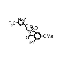 COc1cc(C(C)C)c2c(c1)S(=O)(=O)N(COc1cc(C(F)(F)F)nn1C)C2=O